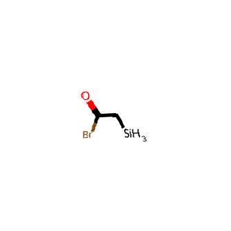 O=C(Br)C[SiH3]